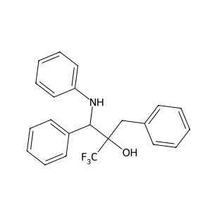 OC(Cc1ccccc1)(C(Nc1ccccc1)c1ccccc1)C(F)(F)F